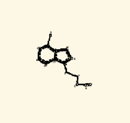 O=[C]OCCc1occ2c(Cl)cccc12